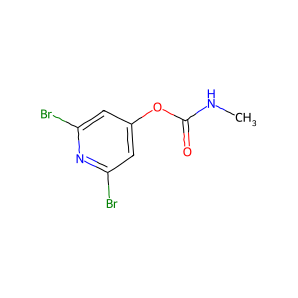 CNC(=O)Oc1cc(Br)nc(Br)c1